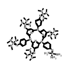 CN(C)P(=Nc1ccc(N2c3cc(N=P(N(C)C)(N(C)C)N(C)C)cc(n3)N(c3ccc(N=P(N)(N)N)cc3)c3cc(N=P(N(C)C)(N(C)C)N(C)C)cc(n3)N(c3ccc(N=P(N(C)C)(N(C)C)N(C)C)cc3)c3cc(N=P(N(C)C)(N(C)C)N(C)C)cc2n3)cc1)(N(C)C)N(C)C